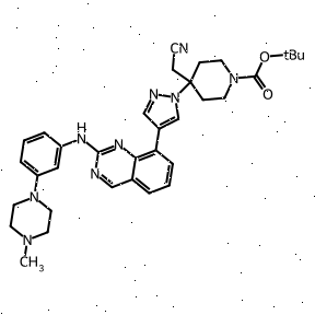 CN1CCN(c2cccc(Nc3ncc4cccc(-c5cnn(C6(CC#N)CCN(C(=O)OC(C)(C)C)CC6)c5)c4n3)c2)CC1